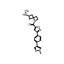 Cn1cc(-c2ccc(-c3cc(C(=O)N4CCC45CC(NC#N)C5)on3)cc2)cn1